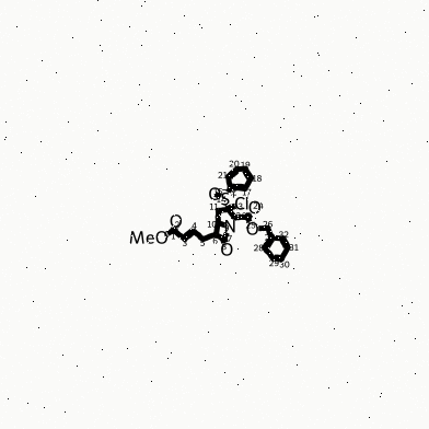 COC(=O)/C=C/CC1C(=O)N2C1CC(Cl)([S+]([O-])c1ccccc1)C2C(=O)OCc1ccccc1